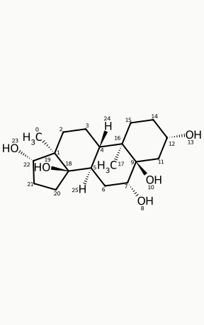 C[C@]12CC[C@H]3[C@@H](C[C@@H](O)[C@@]4(O)C[C@@H](O)CC[C@]34C)[C@]1(O)CC[C@@H]2O